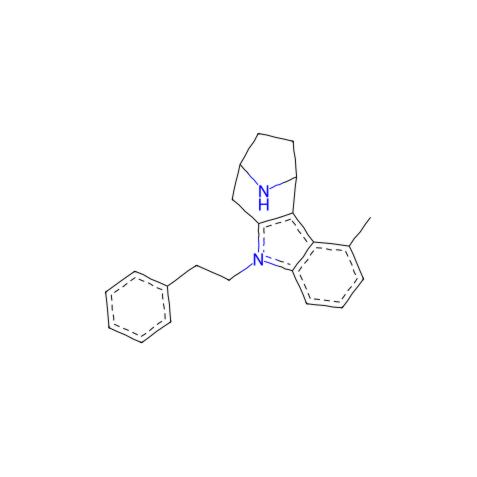 Cc1cccc2c1c1c(n2CCc2ccccc2)CC2CCC1N2